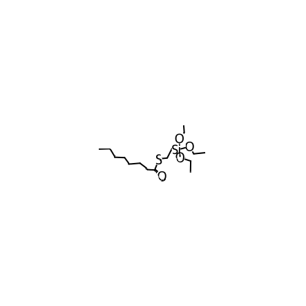 CCCCCCCC(=O)SCC[Si](OCC)(OCC)OCC